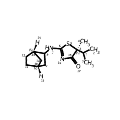 CC(C)[C@]1(C)SC(NC2C[C@@H]3CC[C@H]2C3)=NC1=O